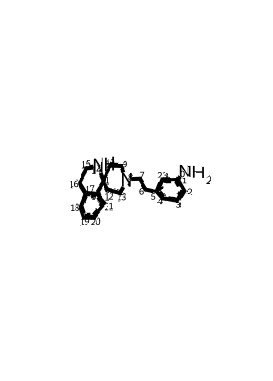 Nc1cccc(CCN2CCC3(CC2)NCCc2ccccc23)c1